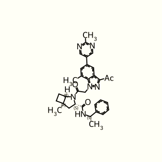 CC(=O)c1nn(CC(=O)N2[C@H](C(=O)N[C@@H](C)c3ccccc3)C[C@@]3(C)CC[C@@H]23)c2c(C)cc(-c3cnc(C)nc3)cc12